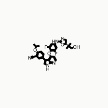 CC(C)Oc1ccc(-c2c[nH]c3nccc(Oc4c(F)cc(NC5=NC[C@@H](C(C)(C)CO)O5)cc4F)c23)cc1C#N